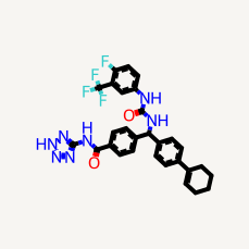 O=C(Nc1ccc(F)c(C(F)(F)F)c1)NC(c1ccc(C(=O)Nc2nn[nH]n2)cc1)c1ccc(C2=CCCCC2)cc1